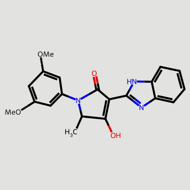 COc1cc(OC)cc(N2C(=O)C(c3nc4ccccc4[nH]3)=C(O)C2C)c1